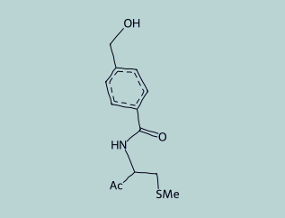 CSCC(NC(=O)c1ccc(CO)cc1)C(C)=O